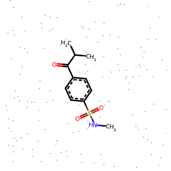 CNS(=O)(=O)c1ccc(C(=O)C(C)C)cc1